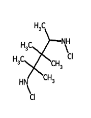 CC(NCl)C(C)(C)C(C)(C)NCl